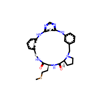 CSCC[C@@H]1NC(=O)[C@@H]2CCCN2Cc2cccc(c2)Nc2cc(ncn2)Nc2cccc(c2)CNC1=O